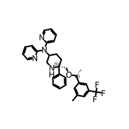 Cc1cc([C@@H](C)OC[C@@]2(c3ccccc3)CCC(N(c3ccccn3)c3ccccn3)CN2)cc(C(F)(F)F)c1